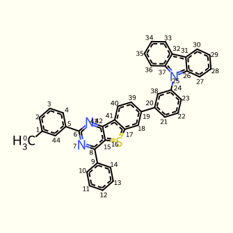 Cc1cccc(-c2nc(-c3ccccc3)c3sc4cc(-c5cccc(-n6c7ccccc7c7ccccc76)c5)ccc4c3n2)c1